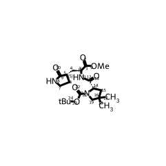 COC(=O)[C@H](C[C@@H]1CCNC1=O)NC(=O)[C@@H]1CC(C)(C)CN1C(=O)OC(C)(C)C